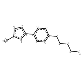 Nc1nc(-c2ccc(CCCCCl)cc2)cs1